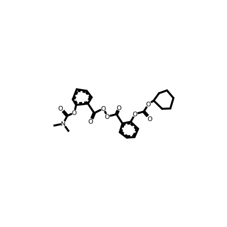 CN(C)C(=O)Oc1ccccc1C(=O)OOC(=O)c1ccccc1OC(=O)OC1CCCCC1